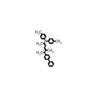 C/C(=C\C=C(/C)N(c1ccc(C)cc1)c1ccc(C)cc1)C(C)c1ccc(-c2ccccc2)cc1